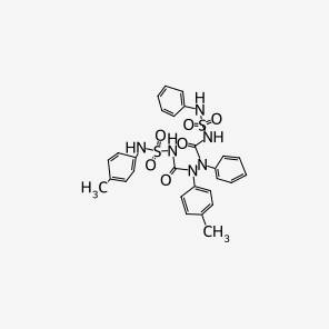 Cc1ccc(NS(=O)(=O)NC(=O)N(c2ccc(C)cc2)N(C(=O)NS(=O)(=O)Nc2ccccc2)c2ccccc2)cc1